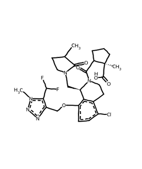 CC1CCN(C[C@@H]2c3c(OCc4nnn(C)c4C(F)F)ccc(Cl)c3CCN2C(=O)C2CCC[C@@]2(C)C(=O)O)C1=O